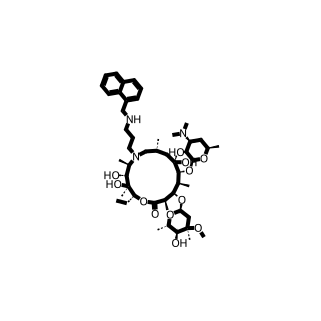 CC[C@H]1OC(=O)[C@H](C)[C@@H](O[C@H]2C[C@@](C)(OC)[C@@H](O)[C@H](C)O2)[C@H](C)[C@@H](O[C@@H]2O[C@H](C)C[C@H](N(C)C)[C@H]2O)[C@](C)(O)C[C@@H](C)CN(CCCNCc2cccc3ccccc23)[C@H](C)[C@@H](O)[C@]1(C)O